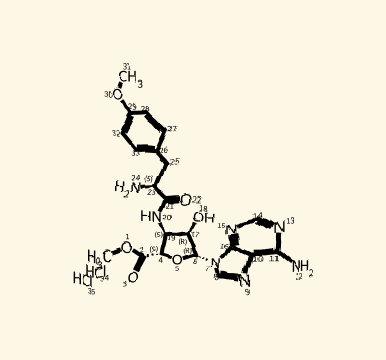 COC(=O)[C@H]1O[C@@H](n2cnc3c(N)ncnc32)[C@H](O)[C@@H]1NC(=O)[C@@H](N)Cc1ccc(OC)cc1.Cl.Cl